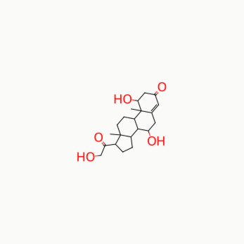 CC12CCC3C(C(O)CC4=CC(=O)CC(O)C43C)C1CCC2C(=O)CO